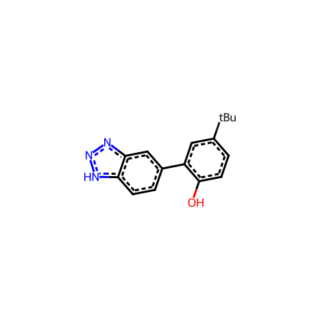 CC(C)(C)c1ccc(O)c(-c2ccc3[nH]nnc3c2)c1